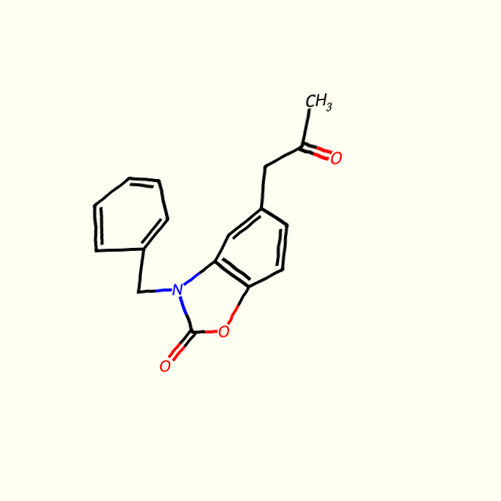 CC(=O)Cc1ccc2oc(=O)n(Cc3ccccc3)c2c1